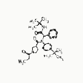 CCC(=O)N1CCC(C(=O)N(c2ccc(C(C)(C)C)cc2)C(C(=O)NC(C)(C)C)c2cccnc2)C1